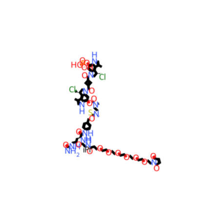 Cc1c[nH]c2c(OC(=O)N(C)CCN(C)C(=S)OCc3ccc(NC(=O)[C@H](CCCNC(N)=O)NC(=O)[C@@H](NC(=O)CCOCCOCCOCCOCCOCCOCCN4C(=O)C=CC4=O)C(C)C)cc3)cc3c(c12)[C@H](CCl)CN3C(=O)C12CC(C(=O)N3C[C@@H](CCl)c4c3cc(OP(=O)(O)O)c3[nH]cc(C)c43)(C1)C2